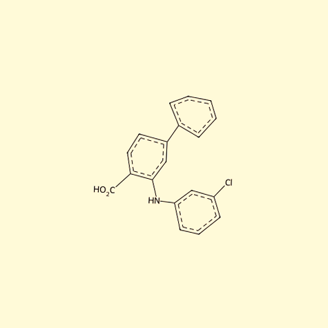 O=C(O)c1ccc(-c2ccccc2)cc1Nc1cccc(Cl)c1